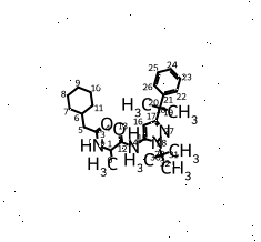 CC(NC(=O)CC1CCCCC1)C(=O)Nc1cc(C(C)(C)c2ccccc2)nn1C(C)(C)C